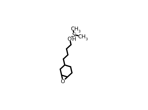 C[SiH](C)OCCCCC1CCC2OC2C1